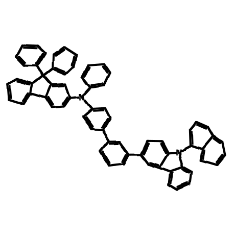 c1ccc(N(c2ccc(-c3cccc(-c4ccc5c(c4)c4ccccc4n5-c4cccc5ccccc45)c3)cc2)c2ccc3c(c2)C(c2ccccc2)(c2ccccc2)c2ccccc2-3)cc1